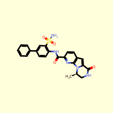 C[C@@H]1CNC(=O)c2cc3ccc(C(=O)Nc4ccc(-c5ccccc5)cc4S(N)(=O)=O)nc3n21